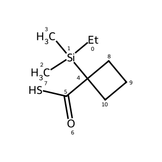 CC[Si](C)(C)C1(C(=O)S)CCC1